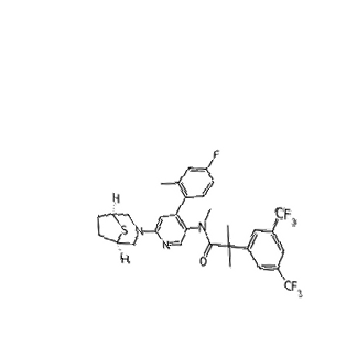 Cc1cc(F)ccc1-c1cc(N2C[C@H]3CC[C@@H](C2)S3)ncc1N(C)C(=O)C(C)(C)c1cc(C(F)(F)F)cc(C(F)(F)F)c1